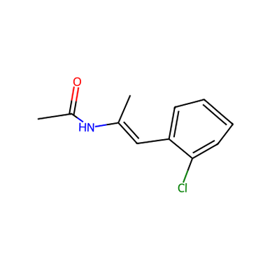 CC(=O)N/C(C)=C/c1ccccc1Cl